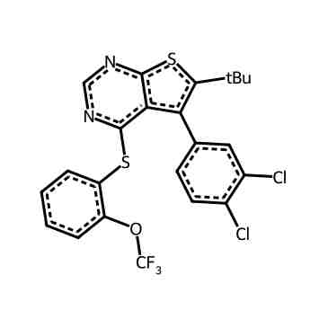 CC(C)(C)c1sc2ncnc(Sc3ccccc3OC(F)(F)F)c2c1-c1ccc(Cl)c(Cl)c1